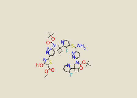 CC(C)(C)OC(=O)N(CC1(c2ncccc2F)CCC1)c1ccc(C(N)=S)nn1.CCOC(=O)C1SC(c2ccc(N(CC3(c4ncccc4F)CCC3)C(=O)OC(C)(C)C)nn2)N=C1O